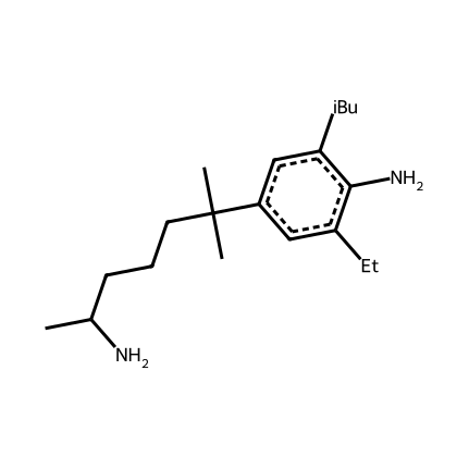 CCc1cc(C(C)(C)CCCC(C)N)cc(C(C)CC)c1N